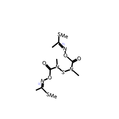 CS/C(C)=N\OC(=O)N(C)SN(C)C(=O)O/N=C(\C)SC